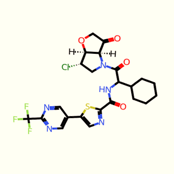 O=C(NC(C(=O)N1C[C@H](Cl)[C@H]2OCC(=O)[C@H]21)C1CCCCC1)c1ncc(-c2cnc(C(F)(F)F)nc2)s1